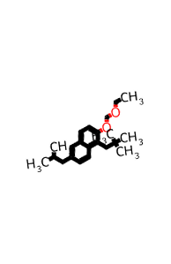 CCOCOc1ccc2cc(CC(C)C)ccc2c1CC(C)(C)C